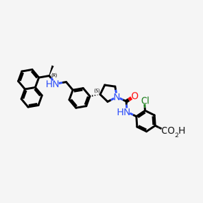 C[C@@H](NCc1cccc([C@@H]2CCN(C(=O)Nc3ccc(C(=O)O)cc3Cl)C2)c1)c1cccc2ccccc12